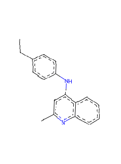 CCc1ccc(Nc2cc(C)nc3ccccc23)cc1